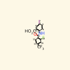 O=C(Nc1ccc(I)cc1C(=O)O)c1ccc(C(F)(F)F)cc1F